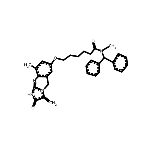 C=c1c(=O)[nH]c2n1Cc1cc(OCCCCCC(=O)N(C)C(c3ccccc3)c3ccccc3)cc(C)c1N=2